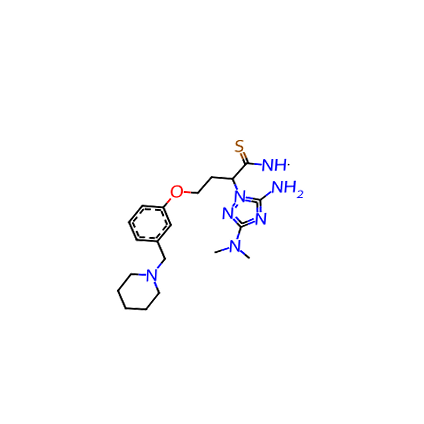 CN(C)c1nc(N)n(C(CCOc2cccc(CN3CCCCC3)c2)C([NH])=S)n1